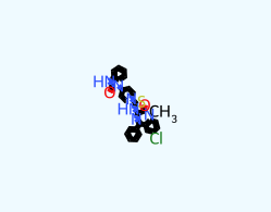 CN1C(=O)C(NC(=S)N2CCC(n3c(=O)[nH]c4ccccc43)CC2)N=C(c2ccccc2)c2cc(Cl)ccc21